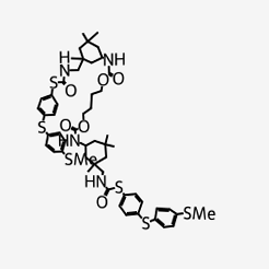 CSc1ccc(Sc2ccc(SC(=O)NCC3(C)CC(NC(=O)OCCCCOC(=O)NC4CC(C)(C)CC(C)(CNC(=O)Sc5ccc(Sc6ccc(SC)cc6)cc5)C4)CC(C)(C)C3)cc2)cc1